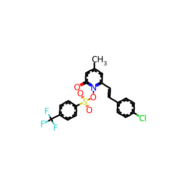 Cc1cc(C=Cc2ccc(Cl)cc2)n(OS(=O)(=O)c2ccc(C(F)(F)F)cc2)c(=O)c1